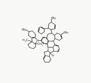 CC(C)(C)C1=CCC2B3C4=CC=CC5C4N(c4cc(N6C7=C(CC(C(C)(C)C)CC7)C7(C)CCCCC67C)cc(c43)CC(C3C=CC(C(C)(C)C)CC3C3=CC=CCC3)C2C1)C1CC2=CCCCC2[C@@H]51